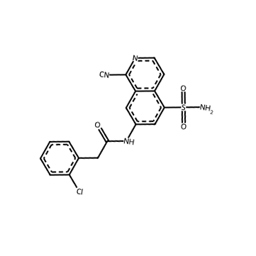 [C-]#[N+]c1nccc2c(S(N)(=O)=O)cc(NC(=O)Cc3ccccc3Cl)cc12